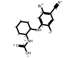 N#Cc1cc(F)c(NC2CCCCC2NC(=O)O)cc1Br